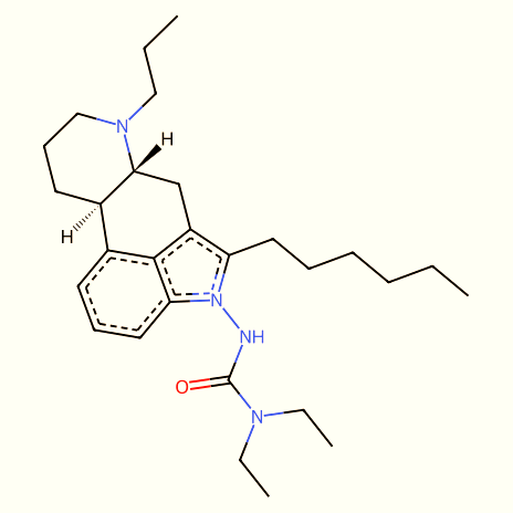 CCCCCCc1c2c3c(cccc3n1NC(=O)N(CC)CC)[C@H]1CCCN(CCC)[C@@H]1C2